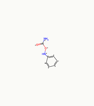 NC(=O)ONc1ccccc1